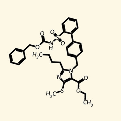 CCCCc1nc(SC)c(C(=O)OCC)n1Cc1ccc(-c2ccccc2S(=O)(=O)NC(=O)OCc2ccccc2)cc1